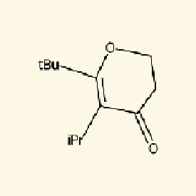 CC(C)C1=C(C(C)(C)C)OCCC1=O